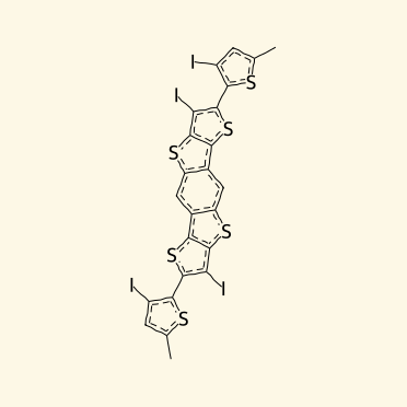 Cc1cc(I)c(-c2sc3c(sc4cc5c(cc43)sc3c(I)c(-c4sc(C)cc4I)sc35)c2I)s1